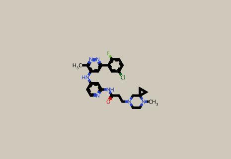 Cc1nnc(-c2cc(Cl)ccc2F)cc1Nc1ccnc(NC(=O)CCN2CCN(C)C3(CC3)C2)c1